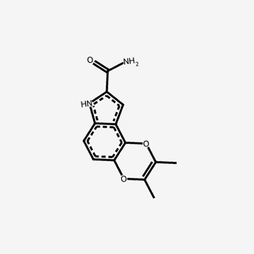 CC1=C(C)Oc2c(ccc3[nH]c(C(N)=O)cc23)O1